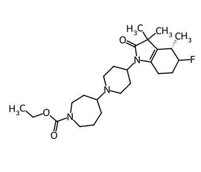 CCOC(=O)N1CCCC(N2CCC(N3C(=O)C(C)(C)C4=C3CCC(F)[C@H]4C)CC2)CC1